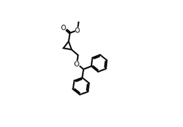 COC(=O)C1CC1COC(c1ccccc1)c1ccccc1